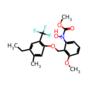 CCc1cc(C(F)(F)F)c(OCc2c(OC)cccc2N(O)C(=O)OC)cc1C